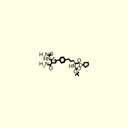 CC(C)(C)OC(=O)N[C@@H](CCCc1ccc(C2=CC(C(N)=O)C(NC(N)=O)S2)cc1)C(=O)OC1CCCC1